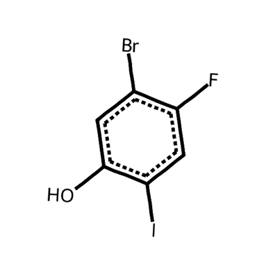 Oc1cc(Br)c(F)cc1I